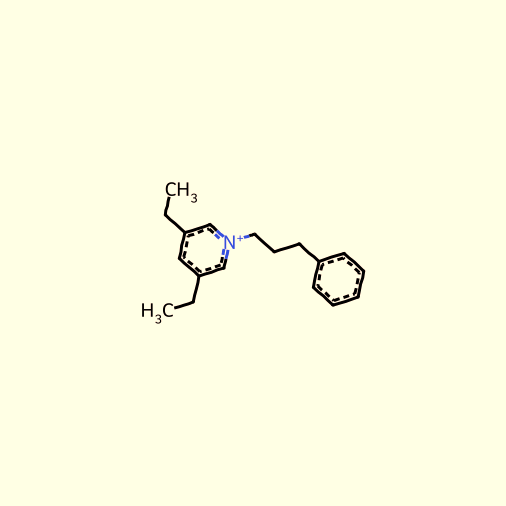 CCc1cc(CC)c[n+](CCCc2ccccc2)c1